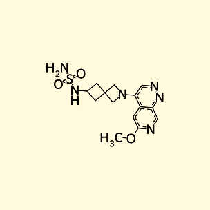 COc1cc2c(N3CC4(CC(NS(N)(=O)=O)C4)C3)cnnc2cn1